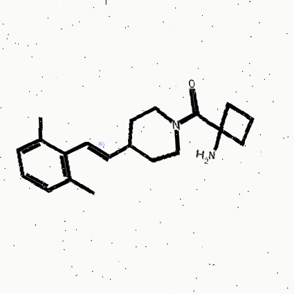 Cc1cccc(C)c1/C=C/C1CCN(C(=O)C2(N)CCC2)CC1